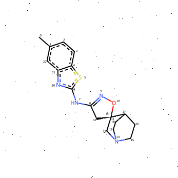 Cc1ccc2sc(NC3=NO[C@@]4(C3)CN3CCC4CC3)nc2c1